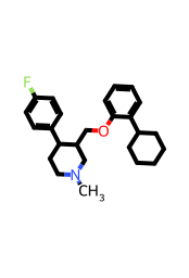 CN1CCC(c2ccc(F)cc2)C(COc2ccccc2C2CCCCC2)C1